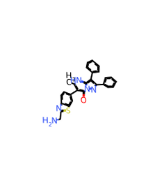 Cc1[nH]c2c(-c3ccccc3)c(-c3ccccc3)nn2c(=O)c1-c1ccc2nc(CN)sc2c1